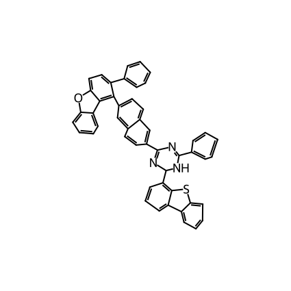 c1ccc(C2=NC(c3ccc4cc(-c5c(-c6ccccc6)ccc6oc7ccccc7c56)ccc4c3)=NC(c3cccc4c3sc3ccccc34)N2)cc1